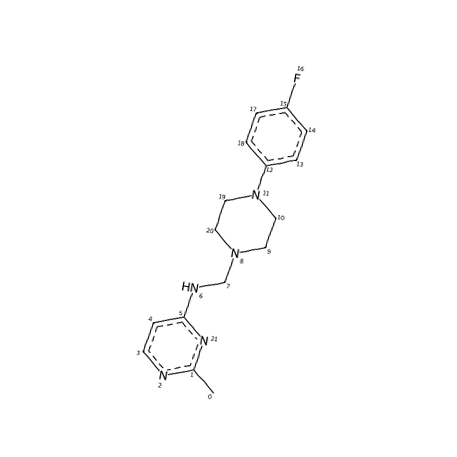 Cc1nccc(NCN2CCN(c3ccc(F)cc3)CC2)n1